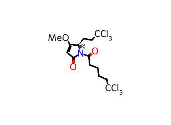 COC1=CC(=O)N(C(=O)CCCCC(Cl)(Cl)Cl)[C@@H]1CCC(Cl)(Cl)Cl